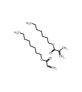 C=C(C)C(=O)OCCCCCCC.C=CC(=O)OCCCCCCCC